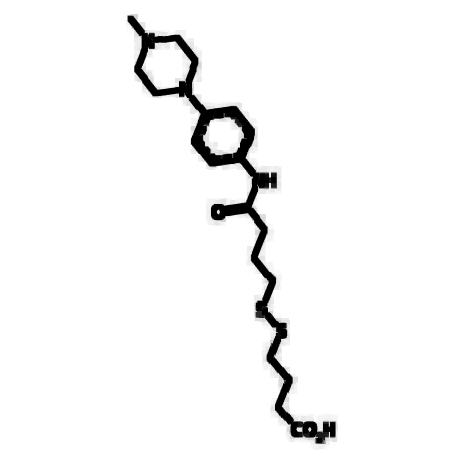 CN1CCN(c2ccc(NC(=O)CCCSSCCCC(=O)O)cc2)CC1